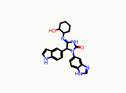 O=C1NC(=NC2CCCCC2O)C(c2ccc3[nH]ccc3c2)N1c1ccc2[nH]cnc2c1